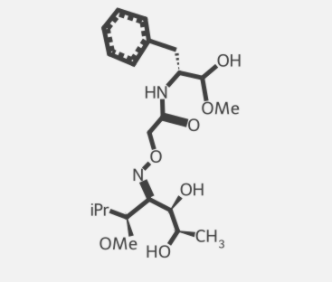 COC(O)[C@@H](Cc1ccccc1)NC(=O)CO/N=C(/[C@@H](OC)C(C)C)[C@@H](O)[C@@H](C)O